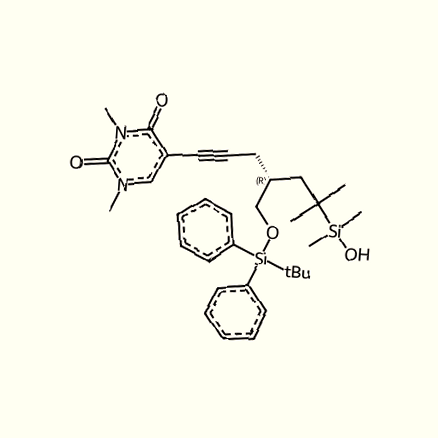 Cn1cc(C#CC[C@@H](CO[Si](c2ccccc2)(c2ccccc2)C(C)(C)C)CC(C)(C)[Si](C)(C)O)c(=O)n(C)c1=O